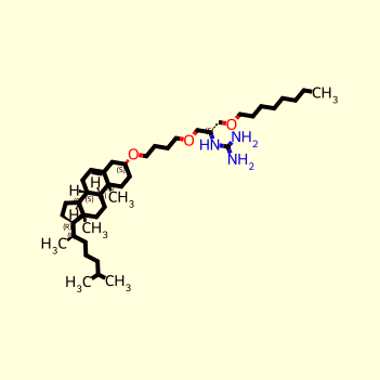 CCCCCCCCOC[C@@H](COCCCCO[C@H]1CC[C@@]2(C)C(=CC[C@H]3[C@@H]4CC[C@H]([C@H](C)CCCC(C)C)[C@@]4(C)CC[C@@H]32)C1)NC(N)N